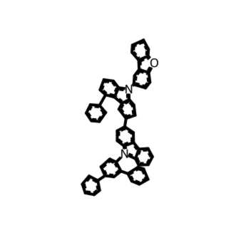 c1ccc(-c2ccc(-n3c4ccccc4c4cc(-c5ccc6c(c5)c5c(-c7ccccc7)cccc5n6-c5ccc6oc7ccccc7c6c5)ccc43)c(-c3ccccc3)c2)cc1